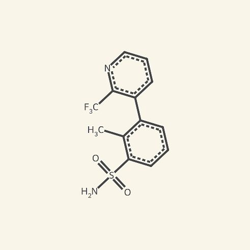 Cc1c(-c2cccnc2C(F)(F)F)cccc1S(N)(=O)=O